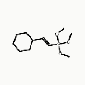 CO[Si](C=CC1CCCCC1)(OC)OC